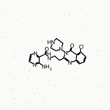 Nc1nccnc1C(=O)NCCc1nc2cccc(Cl)c2c(=O)n1N1CCNCC1